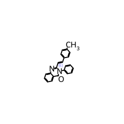 Cc1ccc(/C=C/c2nc3ccccc3c(=O)n2-c2ccccc2)cc1